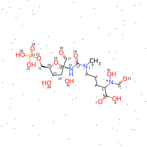 CN(CCCC(C(=O)O)N(O)C=O)C(=O)N[C@]1(C=O)O[C@H](COP(=O)(O)O)[C@@H](O)[C@H]1O